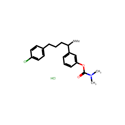 CNC(CCCc1ccc(Cl)cc1)c1cccc(OC(=O)N(C)C)c1.Cl